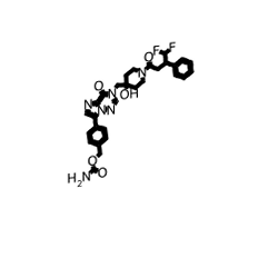 NC(=O)OCc1ccc(-c2cnc3c(=O)n(CC4(O)CCN(C(=O)CC(c5ccccc5)C(F)F)CC4)cnn23)cc1